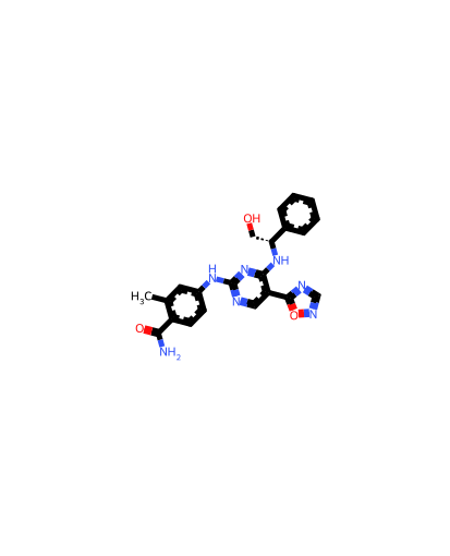 Cc1cc(Nc2ncc(-c3ncno3)c(N[C@H](CO)c3ccccc3)n2)ccc1C(N)=O